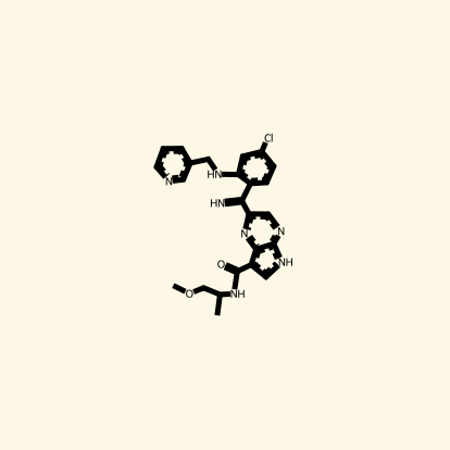 COCC(C)NC(=O)c1c[nH]c2ncc(C(=N)c3ccc(Cl)cc3NCc3cccnc3)nc12